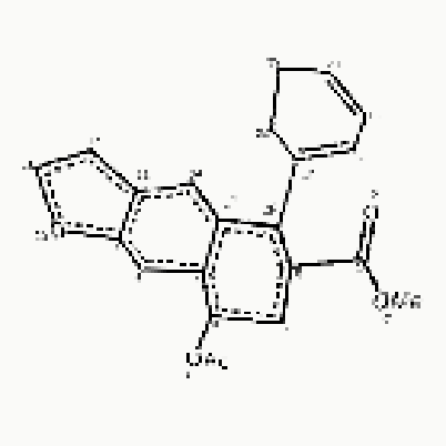 COC(=O)c1cc(OC(C)=O)c2cc3occc3cc2c1C1=CC=CCC1